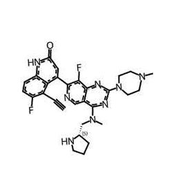 C#Cc1c(F)ccc2[nH]c(=O)cc(-c3ncc4c(N(C)C[C@@H]5CCCN5)nc(N5CCN(C)CC5)nc4c3F)c12